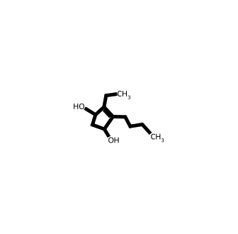 CCCCC1=C(CC)C(O)CC1O